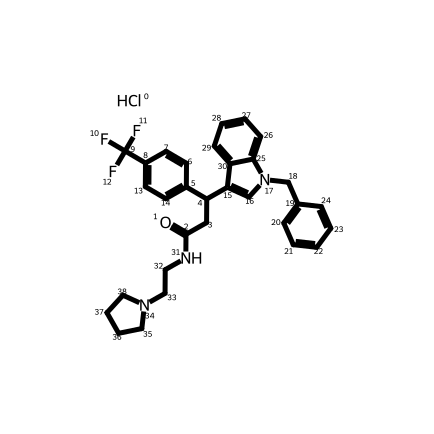 Cl.O=C(CC(c1ccc(C(F)(F)F)cc1)c1cn(Cc2ccccc2)c2ccccc12)NCCN1CCCC1